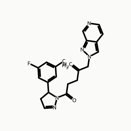 C=C(CCC(=O)N1N=CCC1c1cc(C)cc(F)c1)Cn1cc2ccncc2n1